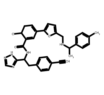 C#Cc1ccc(CC(NC(=O)C2=CC(c3ccc(CNC(C)c4ccc(C)cc4)o3)=CCC2Cl)c2ncn[nH]2)cc1